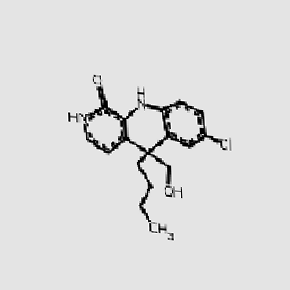 CCCCC1(CO)c2cc(Cl)ccc2Nc2c1cc[nH]c2=O